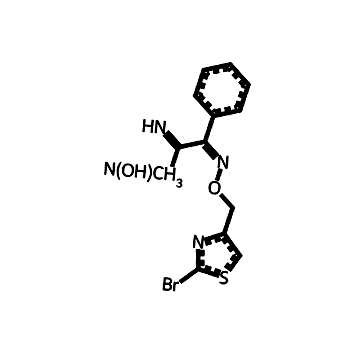 CN(O)C(=N)/C(=N\OCc1csc(Br)n1)c1ccccc1